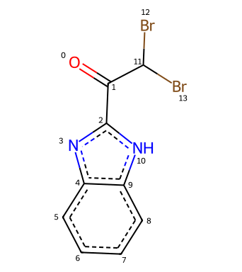 O=C(c1nc2ccccc2[nH]1)C(Br)Br